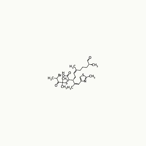 C/C(=C/C[C@@H](/C(C)=C\c1csc(C)n1)C(SC(C)(C)C(=O)C(C)Br)C(=O)O)CCC[C@H](C)C=O